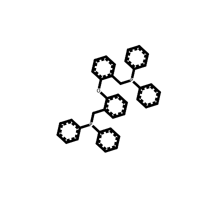 c1ccc(P(Cc2ccccc2Oc2ccccc2CP(c2ccccc2)c2ccccc2)c2ccccc2)cc1